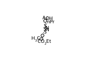 CCCc1c(CSc2nnc(SCc3ccc(OC(C)C(=O)OCC)cc3)s2)ccc(C(C)=O)c1O